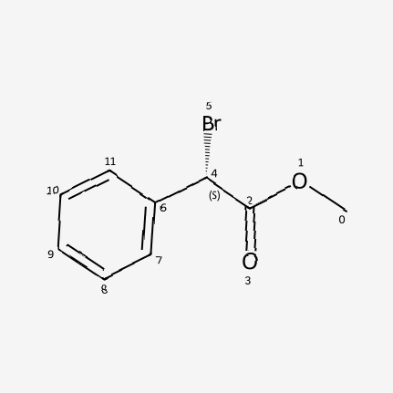 COC(=O)[C@@H](Br)c1ccccc1